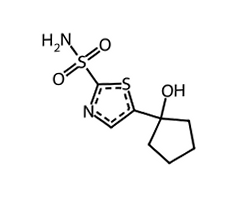 NS(=O)(=O)c1ncc(C2(O)CCCC2)s1